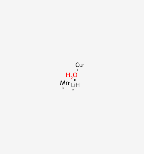 O.[Cu].[LiH].[Mn]